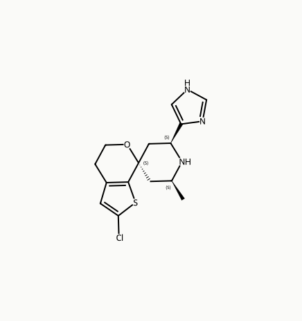 C[C@H]1C[C@@]2(C[C@@H](c3c[nH]cn3)N1)OCCc1cc(Cl)sc12